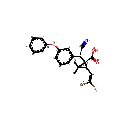 CC1(C)C(C=C(Br)Br)[C@@]1(C(=O)O)[C@H](C#N)c1cccc(Oc2ccccc2)c1